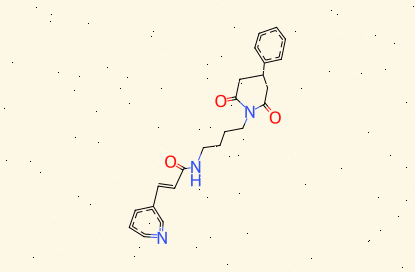 O=C(C=Cc1cccnc1)NCCCCN1C(=O)CC(c2ccccc2)CC1=O